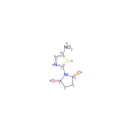 O=C1CCC(=O)N1c1ncc([N+](=O)[O-])s1